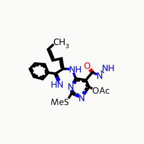 C/C=C\C=C(\Nc1nc(SC)nc(OC(C)=O)c1C(=O)N=N)C(=N)c1ccccc1